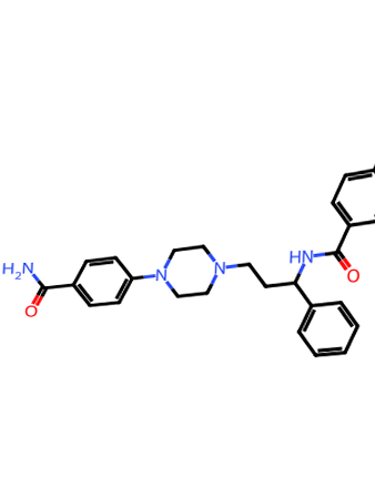 NC(=O)c1ccc(N2CCN(CCC(NC(=O)c3ccc(F)cc3)c3ccccc3)CC2)cc1